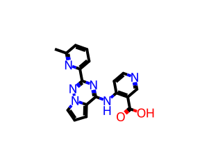 Cc1cccc(-c2nc(Nc3ccncc3C(=O)O)c3cccn3n2)n1